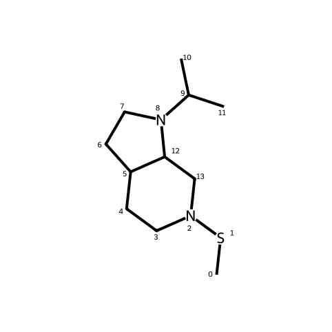 CSN1CCC2CCN(C(C)C)C2C1